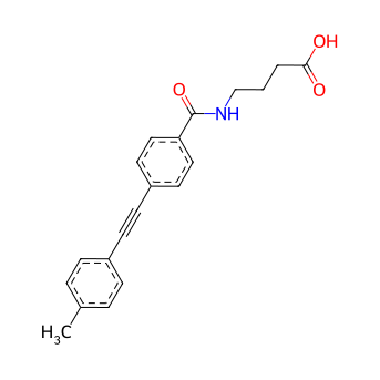 Cc1ccc(C#Cc2ccc(C(=O)NCCCC(=O)O)cc2)cc1